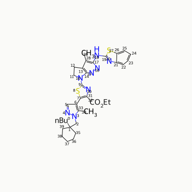 CCCCC1(Cn2ncc(-c3sc(N4CCc5c4nnc(Nc4nc6ccccc6s4)c5C)nc3C(=O)OCC)c2C)CCCCC1